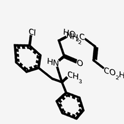 CC(Cc1cccc(Cl)c1)(NC(=O)CN)c1ccccc1.O=C(O)C=CC(=O)O